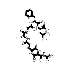 CC(C)C[C@@H](NC(=O)[C@H](Cc1ccccc1)NC(=O)CNC(=O)[C@@H](C)NC(=O)CNc1nc(N)c(C(=O)NC(=N)N)nc1Cl)C(=O)O